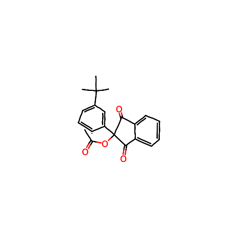 CC(=O)OC1(c2[c]ccc(C(C)(C)C)c2)C(=O)c2ccccc2C1=O